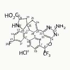 Cl.Nc1nc(O[C@H](c2ccc(-c3cccc(F)c3)cc2)C(F)(F)F)cc(C2=CCC3(CC2)CNC(C(=O)O)C3)n1